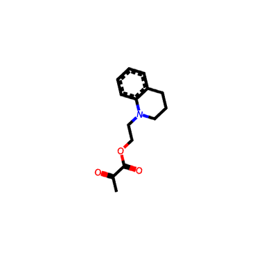 CC(=O)C(=O)OCCN1CCCc2ccccc21